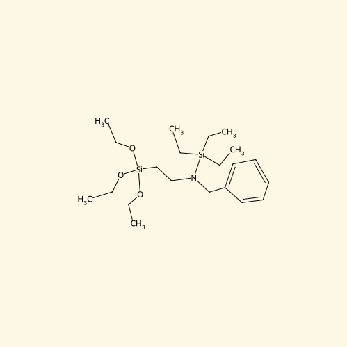 CCO[Si](CCN(Cc1ccccc1)[Si](CC)(CC)CC)(OCC)OCC